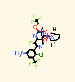 CC(C)(C)OC(=O)N1[C@@H]2CC[C@H]1CN(c1nc(OCC(F)(F)F)nc3c(F)c(-c4cc(N)cc(C(F)(F)F)c4Cl)ncc13)C2